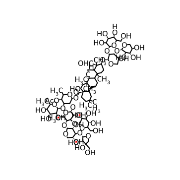 CC(=O)O[C@H]1C(C)O[C@@H](OC(=O)[C@]23CCC(C)(C)CC2C2=CCC4C5(C)CC[C@H](O[C@@H]6OC[C@@H](O)[C@H](O[C@@H]7OC[C@@H](O)[C@H](O)C7O)C6O[C@@H]6OC(CO)[C@H](O)[C@H](O)C6O)[C@](C)(C=O)[C@@H]5CC[C@]4(C)[C@]2(C)CC3O)[C@H](O[C@@H]2OC(C)[C@H](O[C@@H]3OC[C@@H](O)C(O[C@@H]4OCC(O)(CO)[C@@H]4O)[C@H]3O)C(O[C@@H]3OC(CO)[C@@H](O)C(O)[C@H]3O)[C@@H]2O)C1O[C@@H]1OC(C)[C@H](O)[C@H](O)C1O